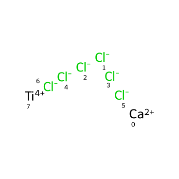 [Ca+2].[Cl-].[Cl-].[Cl-].[Cl-].[Cl-].[Cl-].[Ti+4]